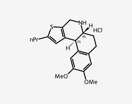 CCCc1cc2c(s1)CN[C@@H]1CCc3cc(OC)c(OC)cc3[C@@H]21.Cl